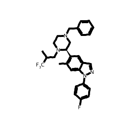 Cc1cc2c(cnn2-c2ccc(F)cc2)cc1[C@@H]1CN(Cc2ccccc2)CCN1CC(C)C(F)(F)F